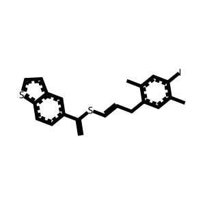 C=C(S/C=C/Cc1cc(C)c(I)cc1C)c1ccc2sccc2c1